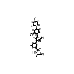 CC(C#N)NC(=O)c1cccc(-c2cc(-c3ccc(N4CCN(C)CC4)cc3Cl)[nH]n2)c1